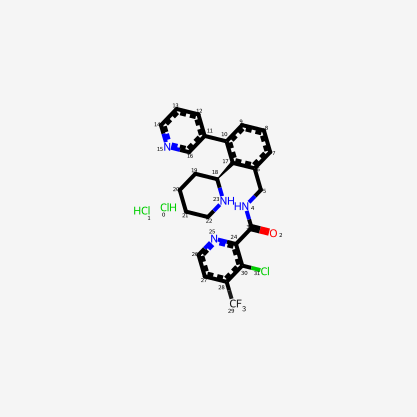 Cl.Cl.O=C(NCc1cccc(-c2cccnc2)c1[C@@H]1CCCCN1)c1nccc(C(F)(F)F)c1Cl